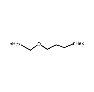 CCCCCCCCCOCCCCCCC